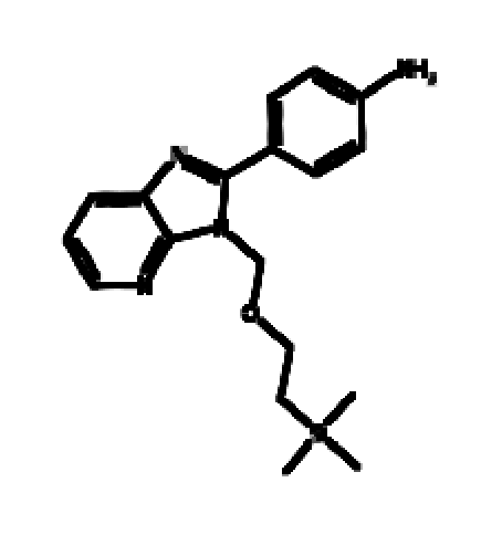 C[Si](C)(C)CCOCn1c(-c2ccc(N)cc2)nc2cccnc21